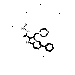 CCNNC(=O)C1NC2C=CC(c3ccccc3)=CN2C1CN1CCOCC1